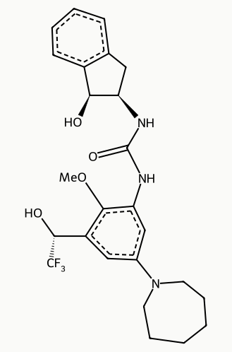 COc1c(NC(=O)N[C@@H]2Cc3ccccc3[C@@H]2O)cc(N2CCCCCC2)cc1[C@@H](O)C(F)(F)F